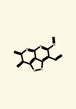 C=Cc1c(N=C)nc2nc(=C)c(=C)c3c2c1SS3